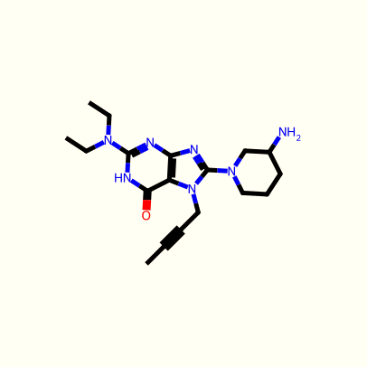 CC#CCn1c(N2CCCC(N)C2)nc2nc(N(CC)CC)[nH]c(=O)c21